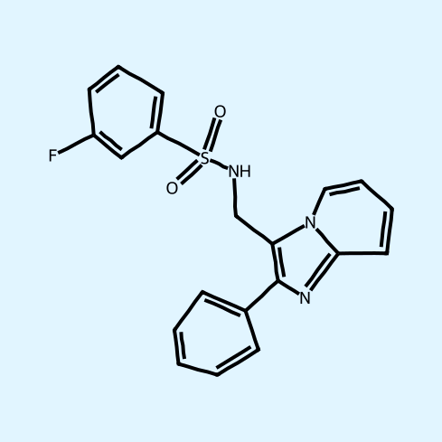 O=S(=O)(NCc1c(-c2ccccc2)nc2ccccn12)c1cccc(F)c1